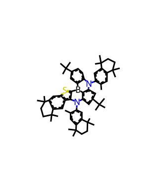 Cc1cc2c(cc1N1c3ccc(C(C)(C)C)cc3B3c4sc5cc6c(cc5c4N(c4cc5c(cc4C)C(C)(C)CCC5(C)C)c4cc(C(C)(C)C)cc1c43)C(C)(C)CCC6(C)C)C(C)(C)CCC2(C)C